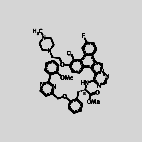 COC(=O)[C@H](Cc1ccccc1OCc1ccnc(-c2ccccc2OC)n1)Nc1ncnn2cc3c4ccc(F)cc4c4c(Cl)c(OCCN5CCN(C)CC5)ccc4c3c12